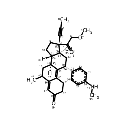 CC#C[C@]1(C(=O)COC)CC[C@H]2[C@@H]3CC(C)C4=CC(=O)CCC4=C3[C@@H](c3ccc(NC)cc3)C[C@@]21C